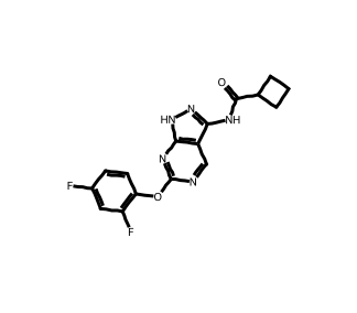 O=C(Nc1n[nH]c2nc(Oc3ccc(F)cc3F)ncc12)C1CCC1